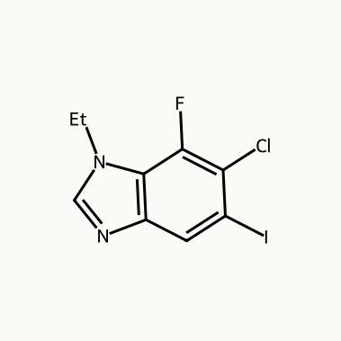 CCn1cnc2cc(I)c(Cl)c(F)c21